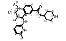 CC[C@H]1[C@H](C)C(Nc2cccc(C)n2)c2cc(C(=O)NC3CCNCC3)ccc2N1C(C)=O